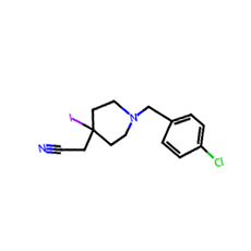 N#CCC1(I)CCN(Cc2ccc(Cl)cc2)CC1